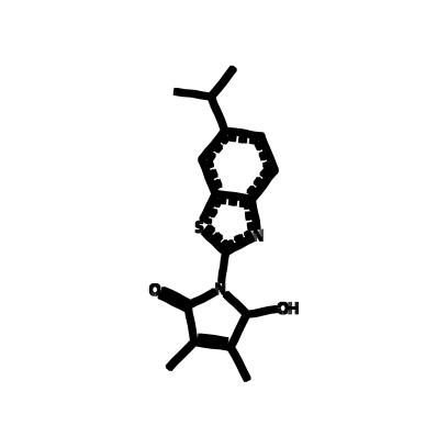 CC1=C(C)C(O)N(c2nc3ccc(C(C)C)cc3s2)C1=O